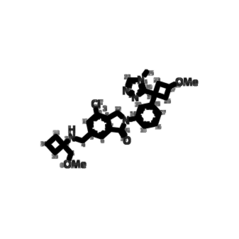 COCC1(NCc2cc3c(c(C(F)(F)F)c2)CN(c2cccc(C4(c5nncn5C)CC(OC)C4)c2)C3=O)CCC1